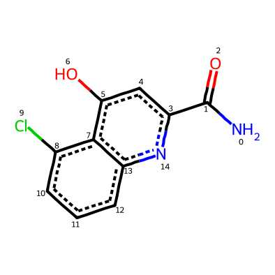 NC(=O)c1cc(O)c2c(Cl)cccc2n1